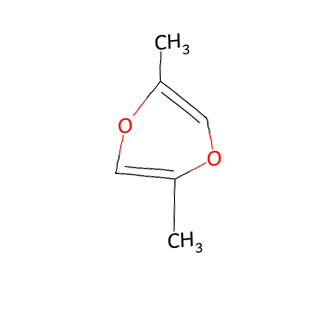 CC1=COC(C)=CO1